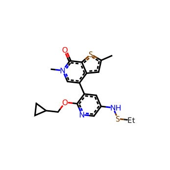 CCSNc1cnc(OCC2CC2)c(-c2cn(C)c(=O)c3sc(C)cc23)c1